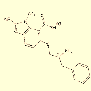 Cc1nc2ccc(OC[C@H](N)Cc3ccccc3)c(C(=O)O)c2n1C.Cl